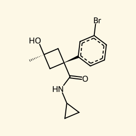 C[C@]1(O)C[C@@](C(=O)NC2CC2)(c2cccc(Br)c2)C1